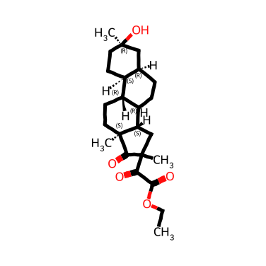 CCOC(=O)C(=O)C1(C)C[C@H]2[C@@H]3CC[C@@H]4C[C@](C)(O)CC[C@@H]4[C@H]3CC[C@]2(C)C1=O